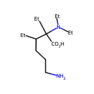 CCC(CCCN)C(CC)(C(=O)O)N(CC)CC